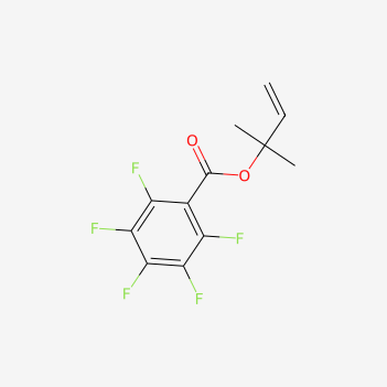 C=CC(C)(C)OC(=O)c1c(F)c(F)c(F)c(F)c1F